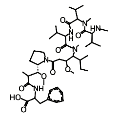 CCC(C)C(C(CC(=O)N1CCC[C@H]1C(OC)C(C)C(=O)NC(Cc1ccccc1)C(=O)O)OC)N(C)C(=O)C(NC(=O)C(C(C)C)N(C)C(=O)C(NC)C(C)C)C(C)C